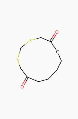 O=C1CCCCCC(=O)CSCSC1